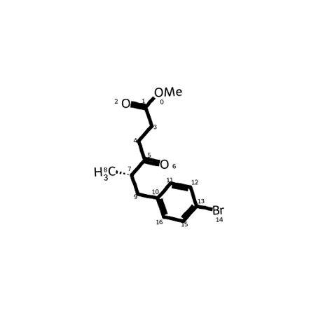 COC(=O)CCC(=O)[C@@H](C)Cc1ccc(Br)cc1